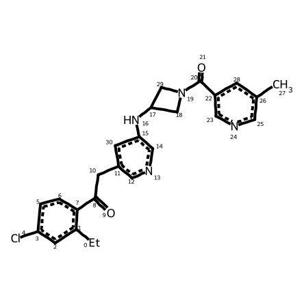 CCc1cc(Cl)ccc1C(=O)Cc1cncc(NC2CN(C(=O)c3cncc(C)c3)C2)c1